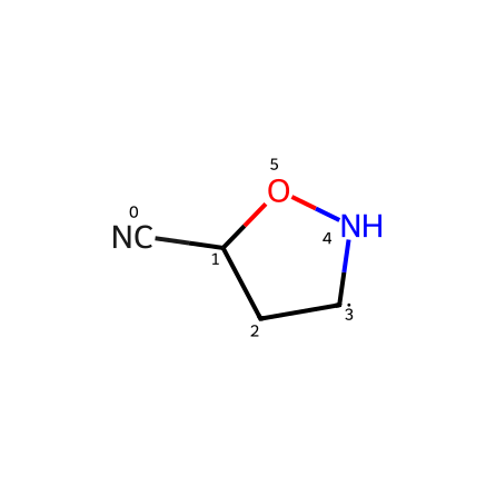 N#CC1C[CH]NO1